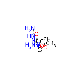 CC(C)[C@H](C)C(=O)Oc1ccccc1/N=N/c1ccc(NC(=O)CCN)nc1N